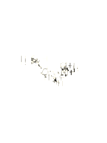 CC(C)(C)[Si](C)(C)O[C@H](C=O)C(Cc1cccc(C#C[Si](C)(C)C)c1)NC(=O)O